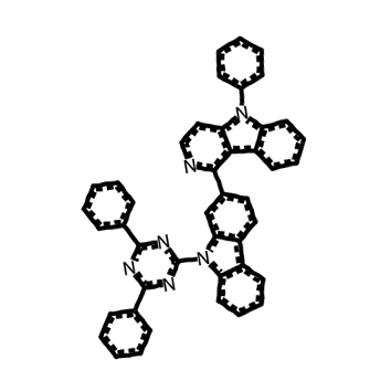 c1ccc(-c2nc(-c3ccccc3)nc(-n3c4ccccc4c4ccc(-c5nccc6c5c5ccccc5n6-c5ccccc5)cc43)n2)cc1